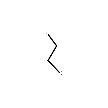 [C]CC[CH]